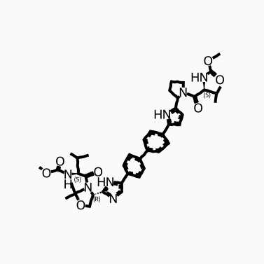 COC(=O)N[C@H](C(=O)N1CCCC1c1ccc(-c2ccc(-c3ccc(-c4cnc([C@@H]5COC(C)(C)N5C(=O)[C@@H](NC(=O)OC)C(C)C)[nH]4)cc3)cc2)[nH]1)C(C)C